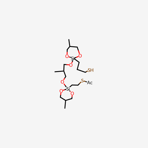 CC(=O)SCC[Si]1(OCC(C)CO[Si]2(CCCS)OCC(C)CO2)OCC(C)CO1